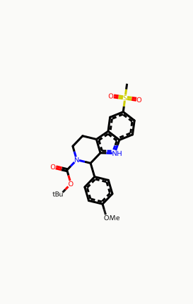 COc1ccc(C2c3[nH]c4ccc(S(C)(=O)=O)cc4c3CCN2C(=O)OC(C)(C)C)cc1